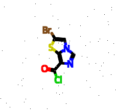 O=C(Cl)c1ncn2cc(Br)sc12